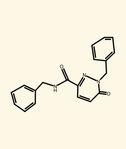 O=C(NCc1ccccc1)c1ccc(=O)n(Cc2ccccc2)n1